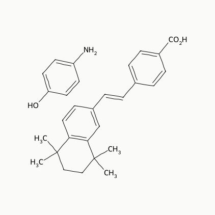 CC1(C)CCC(C)(C)c2cc(C=Cc3ccc(C(=O)O)cc3)ccc21.Nc1ccc(O)cc1